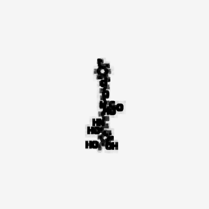 CC(=O)O.OCc1cc([C@@H](O)CNCCCCCCOCCOCc2ccc(I)cc2)ccc1O